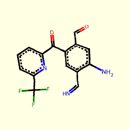 N=Cc1cc(C(=O)c2cccc(C(F)(F)F)n2)c(C=O)cc1N